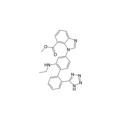 CCNc1cc(-n2cnc3cccc(C(=O)OC)c32)ccc1-c1ccccc1-c1nnn[nH]1